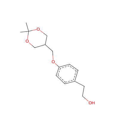 CC1(C)OCC(COc2ccc(CCO)cc2)CO1